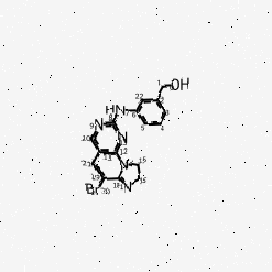 OCc1cccc(Nc2ncc3c(n2)N2CCN=C2C(Br)=C3)c1